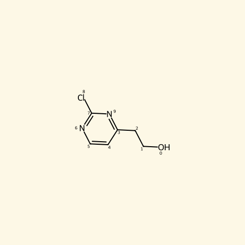 OCCc1ccnc(Cl)n1